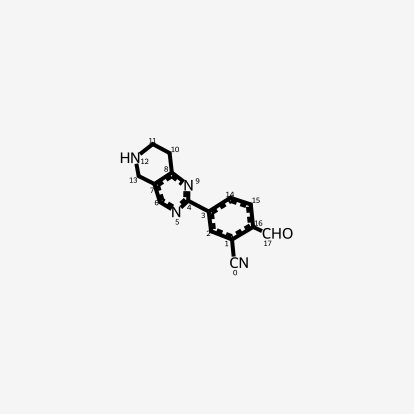 N#Cc1cc(-c2ncc3c(n2)CCNC3)ccc1C=O